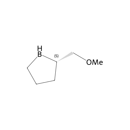 COC[C@H]1BCCC1